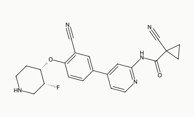 N#Cc1cc(-c2ccnc(NC(=O)C3(C#N)CC3)c2)ccc1O[C@H]1CCNC[C@H]1F